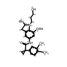 COc1cc(NC(=O)C2(c3ccc(C)c(C)c3)CC2)cc2c1N(CCCO)C(C(C)(C)C)C2